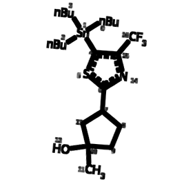 CCC[CH2][Sn]([CH2]CCC)([CH2]CCC)[c]1sc(C2CCC(C)(O)C2)nc1C(F)(F)F